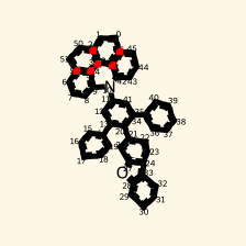 c1ccc(-c2ccccc2N(c2cc(-c3ccccc3)c(-c3ccc4c(c3)oc3ccccc34)c(-c3ccccc3)c2)c2ccccc2-c2ccccc2)cc1